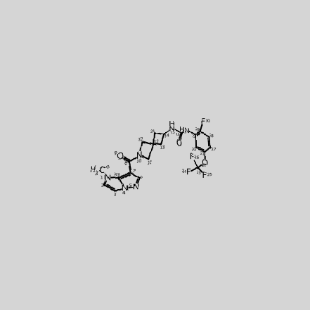 Cn1ccn2ncc(C(=O)N3CC4(CC(NC(=O)Nc5cc(OC(F)(F)F)ccc5F)C4)C3)c12